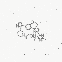 C=C(CO)N1CCCC(n2nccc2-c2ccc3c(c2)OCCn2cc(-c4nc(C)nn4C(C)C)nc2-3)C1